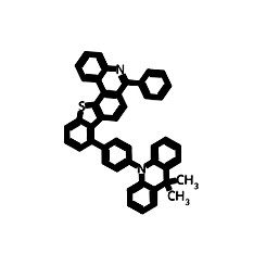 CC1(C)c2ccccc2N(c2ccc(-c3cccc4sc5c(ccc6c(-c7ccccc7)nc7ccccc7c65)c34)cc2)c2ccccc21